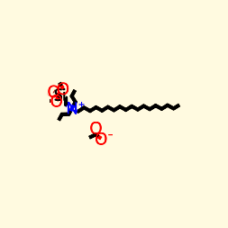 CC(=O)[O-].CCCCCCCCCCCCCCCCCC[N+](CCC)(CCC)CC[Si](OC)(OC)OC